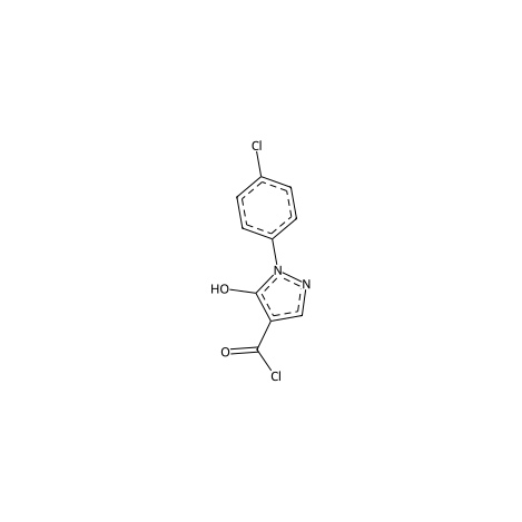 O=C(Cl)c1cnn(-c2ccc(Cl)cc2)c1O